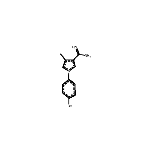 Cc1cn(-c2ccc(O)cc2)cc1C(=N)N